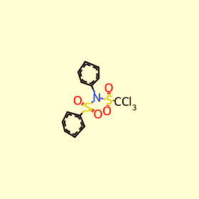 O=S(=O)(c1ccccc1)N(c1ccccc1)S(=O)(=O)C(Cl)(Cl)Cl